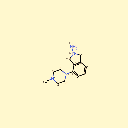 CN1CCN(c2cccc3c2CN(N)C3)CC1